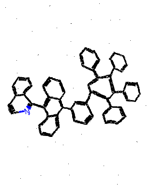 C1=CC(c2c(-c3ccccc3)cc(-c3cccc(-c4c5ccccc5c(-c5nccc6ccccc56)c5ccccc45)c3)c(-c3ccccc3)c2C2=CCCC=C2)=CCC1